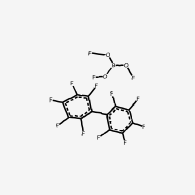 FOB(OF)OF.Fc1c(F)c(F)c(-c2c(F)c(F)c(F)c(F)c2F)c(F)c1F